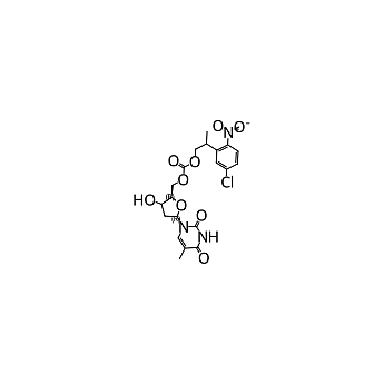 Cc1cn([C@H]2CC(O)[C@@H](COC(=O)OCC(C)c3cc(Cl)ccc3[N+](=O)[O-])O2)c(=O)[nH]c1=O